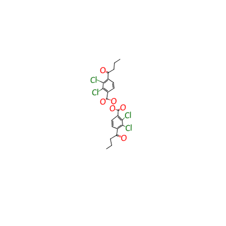 CCCC(=O)c1ccc(C(=O)OOC(=O)c2ccc(C(=O)CCC)c(Cl)c2Cl)c(Cl)c1Cl